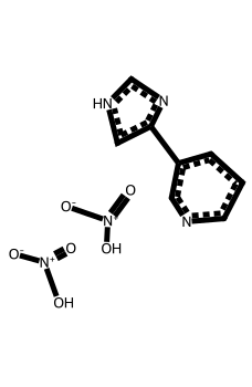 O=[N+]([O-])O.O=[N+]([O-])O.c1cncc(-c2c[nH]cn2)c1